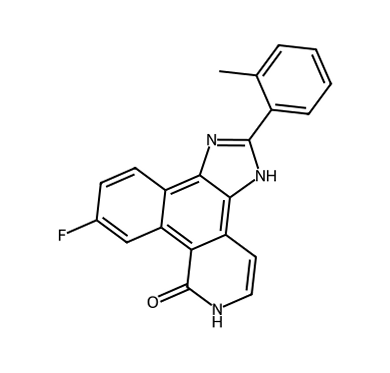 Cc1ccccc1-c1nc2c3ccc(F)cc3c3c(=O)[nH]ccc3c2[nH]1